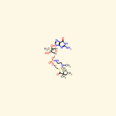 CCC(C)(C)C(=O)SCCOP(=O)(NCCN(C)C)OC[C@H]1O[C@@H](n2cnc3c(=O)[nH]c(N)nc32)[C@](C)(O)[C@@H]1O